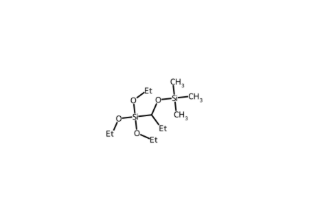 CCO[Si](OCC)(OCC)C(CC)O[Si](C)(C)C